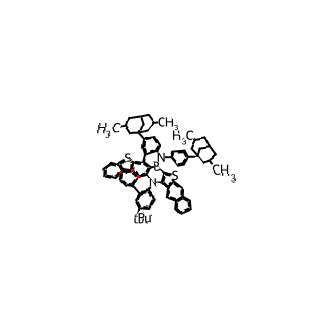 CC1CC2CC(C)CC(c3ccc(N4B5c6sc7cc8ccccc8cc7c6N(c6ccc(C(C)(C)C)cc6-c6ccccc6)c6cc7c(sc8ccccc87)c(c65)-c5cc(C67CC(C)CC(CC(C)C6)C7)ccc54)cc3)(C1)C2